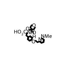 CNc1cccc(CCOc2ccc(C[C@H](NC(=O)C3(CO)CCOCC3)C(=O)O)cc2)n1